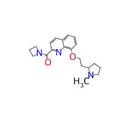 CN1CCCC1CCOc1cccc2ccc(C(=O)N3CCC3)nc12